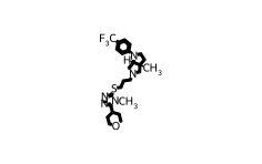 Cn1c(SCCCN2C[C@@H]3N(c4ccc(C(F)(F)F)cc4)CC[C@]3(C)C2)nnc1C1CCOCC1